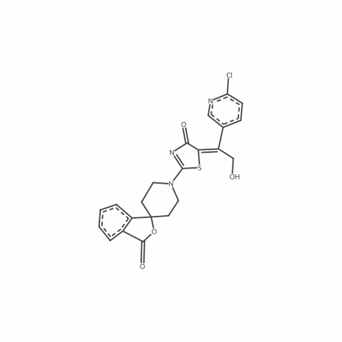 O=C1N=C(N2CCC3(CC2)OC(=O)c2ccccc23)S/C1=C(\CO)c1ccc(Cl)nc1